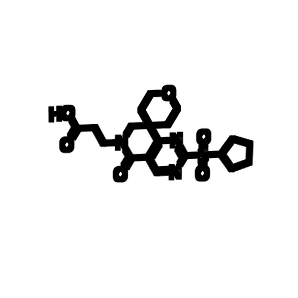 O=C(O)CCN1CC2(CCOCC2)c2nc(S(=O)(=O)C3CCCC3)ncc2C1=O